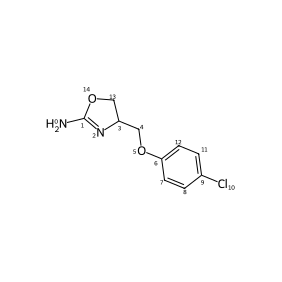 NC1=NC(COc2ccc(Cl)cc2)CO1